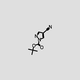 CC(C)(C)OC(=O)n1cc(C#N)cn1